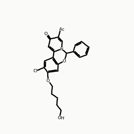 CC(=O)c1cn2c(cc1=O)-c1cc(Cl)c(OCCCCCO)cc1OC2c1ccccc1